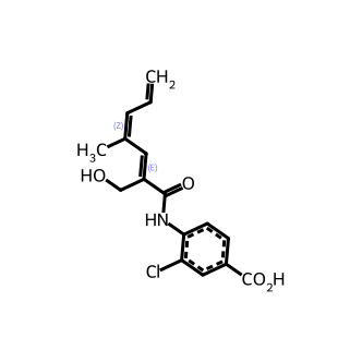 C=C/C=C(C)\C=C(/CO)C(=O)Nc1ccc(C(=O)O)cc1Cl